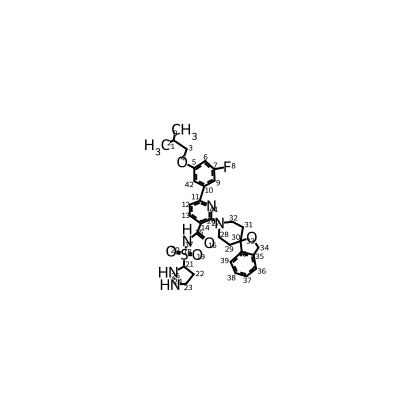 CC(C)COc1cc(F)cc(-c2ccc(C(=O)NS(=O)(=O)C3CCNN3)c(N3CCC4(CC3)OCc3ccccc34)n2)c1